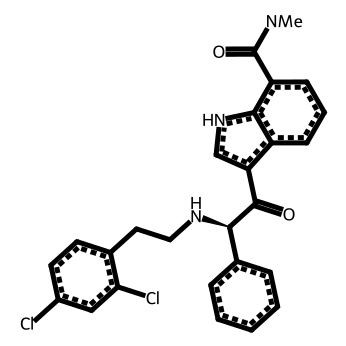 CNC(=O)c1cccc2c(C(=O)[C@H](NCCc3ccc(Cl)cc3Cl)c3ccccc3)c[nH]c12